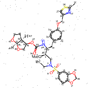 CO[C@H](CN(CC(C)C)S(=O)(=O)c1ccc2c(c1)OCO2)[C@H](Cc1ccc(OCc2csc(C)n2)cc1)NC(=O)O[C@H]1CO[C@H]2OCC[C@H]21